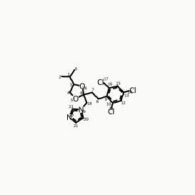 CC(C)C1COC(CCc2c(Cl)cc(Cl)cc2Cl)(Cn2ccnc2)O1